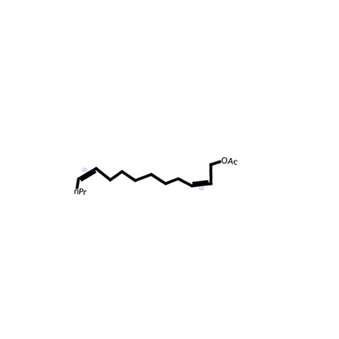 CCC/C=C\CCCCCC/C=C\COC(C)=O